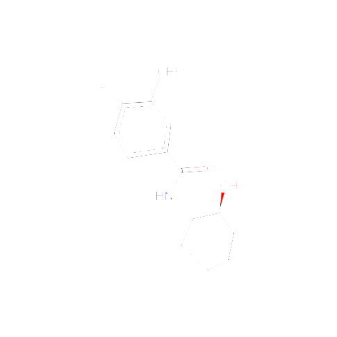 O=Cc1cc(C(=O)N[C@H]2CCCC[C@@H]2O)ccc1F